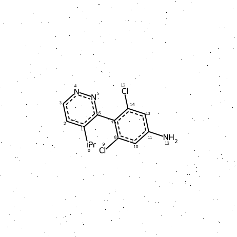 CC(C)c1ccnnc1-c1c(Cl)cc(N)cc1Cl